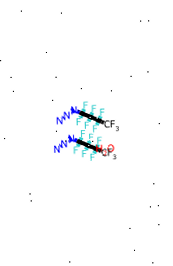 O.[N-]=[N+]=NC(F)(F)C(F)(F)C(F)(F)C(F)(F)F.[N-]=[N+]=NC(F)(F)C(F)(F)C(F)(F)C(F)(F)F